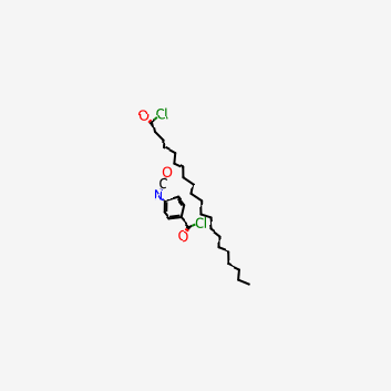 CCCCCCCCCCCCCCCCCCCCC(=O)Cl.O=C=Nc1ccc(C(=O)Cl)cc1